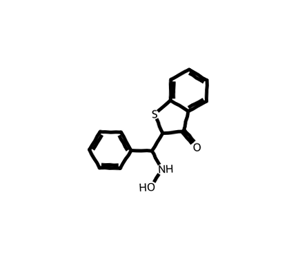 O=C1c2ccccc2SC1C(NO)c1ccccc1